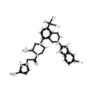 Cc1ccn(CC(=O)N2CCN(c3ccc(C(F)(F)F)c4c3CN(c3nc5ccc(F)cc5s3)CC4)CC2C)n1